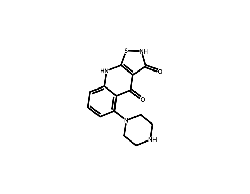 O=c1[nH]sc2[nH]c3cccc(N4CCNCC4)c3c(=O)c12